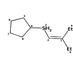 CCC(=C[SiH2]C1CCCC1)CC